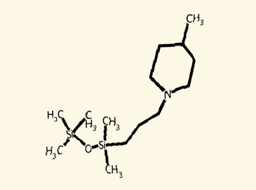 CC1CCN(CCC[Si](C)(C)O[Si](C)(C)C)CC1